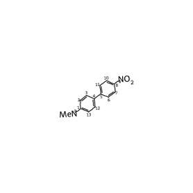 CNc1ccc(-c2ccc([N+](=O)[O-])cc2)cc1